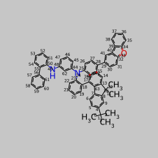 CC(C)(C)c1ccc2c(c1)C(C)(C)c1cccc(-c3ccccc3N(c3ccc(-c4ccc5oc6ccccc6c5c4)cc3)c3cccc(Nc4ccccc4-c4ccccc4)c3)c1-2